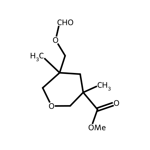 COC(=O)C1(C)COCC(C)(COC=O)C1